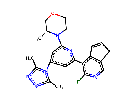 Cc1nnc(C)n1-c1cc(-c2c(F)ncc3c2C=CC3)nc(N2CCOC[C@H]2C)c1